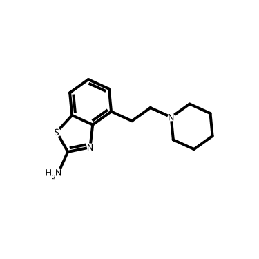 Nc1nc2c(CCN3CCCCC3)cccc2s1